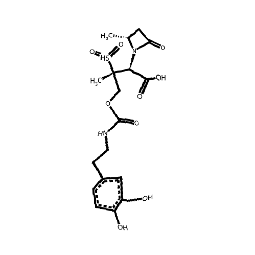 C[C@@H]1CC(=O)N1[C@@H](C(=O)O)[C@](C)(COC(=O)NCCc1ccc(O)c(O)c1)[SH](=O)=O